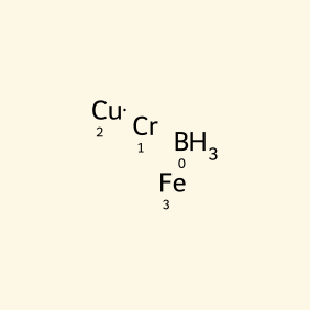 B.[Cr].[Cu].[Fe]